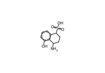 NC1CCC(S(=O)(=O)O)c2cccc(O)c21